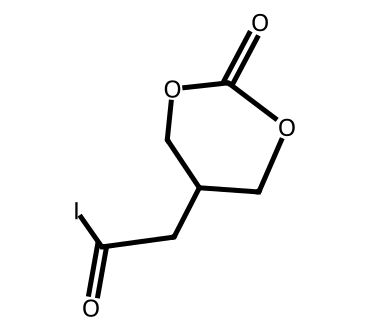 O=C(I)CC1COC(=O)OC1